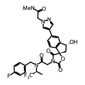 CNC(=O)Cn1cc(-c2ccc3c(c2)[C@H](O)C[C@]32OC(=O)N(CC(=O)N(Cc3ccc(F)cc3)[C@@H](C)C(F)(F)F)C2=O)cn1